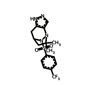 CC1(C)CC2Cc3[nH]ncc3N1N2S(=O)(=O)c1ccc(C(F)(F)F)cc1